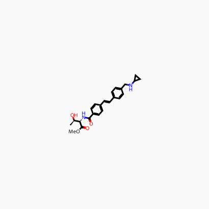 COC(=O)[C@@H](NC(=O)c1ccc(/C=C/c2ccc(CNC3CC3)cc2)cc1)[C@@H](C)O